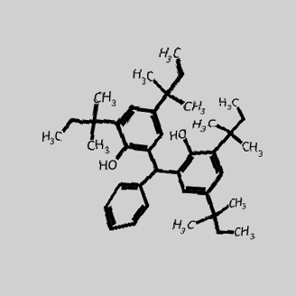 CCC(C)(C)c1cc(C(c2ccccc2)c2cc(C(C)(C)CC)cc(C(C)(C)CC)c2O)c(O)c(C(C)(C)CC)c1